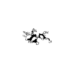 CCC[CH2][Sn]([CH2]CCC)([CH2]CCC)[c]1cn([C@H]2C[C@H](O)[C@@H](CO)O2)c(=O)[nH]c1=O